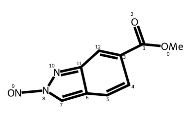 COC(=O)c1ccc2cn(N=O)nc2c1